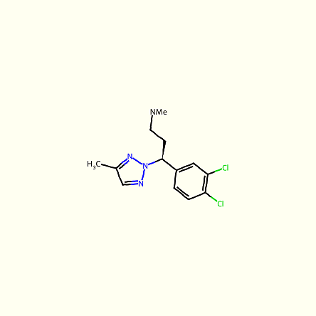 CNCC[C@@H](c1ccc(Cl)c(Cl)c1)n1ncc(C)n1